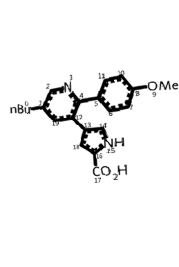 CCCCc1cnc(-c2ccc(OC)cc2)c(-c2c[nH]c(C(=O)O)c2)c1